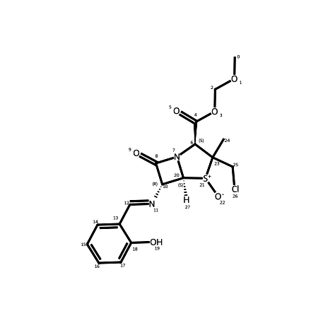 COCOC(=O)[C@@H]1N2C(=O)[C@@H](N=Cc3ccccc3O)[C@@H]2[S+]([O-])C1(C)CCl